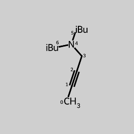 CC#CCN(C(C)CC)C(C)CC